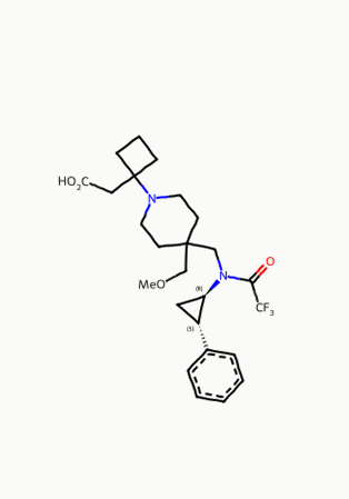 COCC1(CN(C(=O)C(F)(F)F)[C@@H]2C[C@H]2c2ccccc2)CCN(C2(CC(=O)O)CCC2)CC1